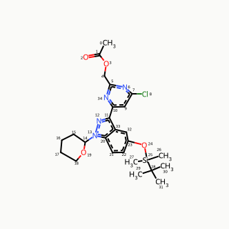 CC(=O)OCc1nc(Cl)cc(-c2nn(C3CCCCO3)c3ccc(O[Si](C)(C)C(C)(C)C)cc23)n1